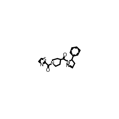 O=C(c1nccs1)N1CCC(C(=O)N2N=CCC2c2ccccc2)CC1